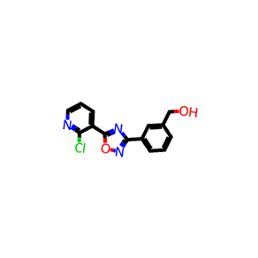 OCc1cccc(-c2noc(-c3cccnc3Cl)n2)c1